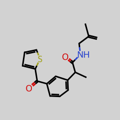 C=C(C)CNC(=O)C(C)c1cccc(C(=O)c2cccs2)c1